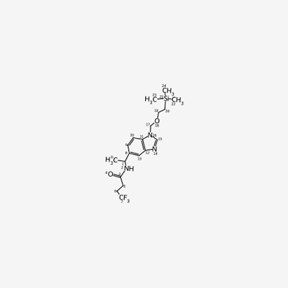 CC(NC(=O)CCC(F)(F)F)c1ccc2c(c1)ncn2COCC[Si](C)(C)C